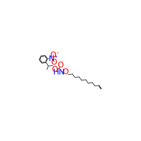 C=CCCCCCCCCCONC(=O)OCC(C)c1ccccc1[N+](=O)[O-]